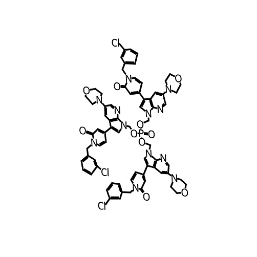 O=c1cc(-c2cn(COP(=O)(OCn3cc(-c4ccn(Cc5cccc(Cl)c5)c(=O)c4)c4cc(N5CCOCC5)cnc43)OCn3cc(-c4ccn(Cc5cccc(Cl)c5)c(=O)c4)c4cc(N5CCOCC5)cnc43)c3ncc(N4CCOCC4)cc23)ccn1Cc1cccc(Cl)c1